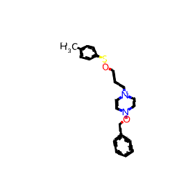 Cc1ccc(SOCCCN2CCN(OCc3ccccc3)CC2)cc1